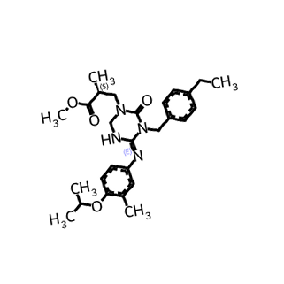 CCc1ccc(CN2C(=O)N(C[C@H](C)C(=O)OC)CN/C2=N\c2ccc(OC(C)C)c(C)c2)cc1